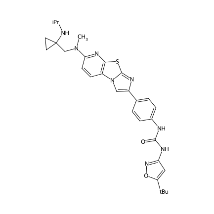 CC(C)NC1(CN(C)c2ccc3c(n2)sc2nc(-c4ccc(NC(=O)Nc5cc(C(C)(C)C)on5)cc4)cn23)CC1